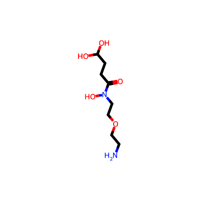 NCCOCCN(O)C(=O)CCC(O)O